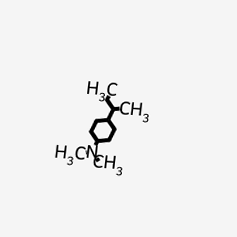 CCC(C)C1CCC(N(C)C)CC1